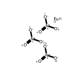 O=[N+]([O-])[O-].O=[N+]([O-])[O-].O=[N+]([O-])[O-].[Eu+3]